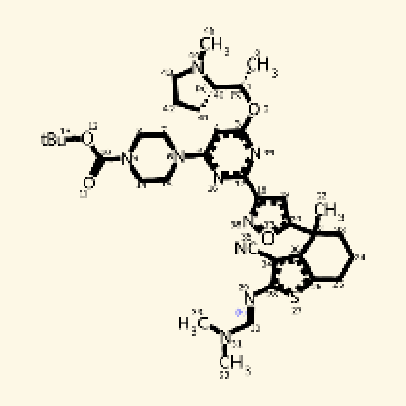 C[C@H](Oc1cc(N2CCN(C(=O)OC(C)(C)C)CC2)nc(-c2cc(C3(C)CCCc4sc(/N=C/N(C)C)c(C#N)c43)on2)n1)[C@@H]1CCCN1C